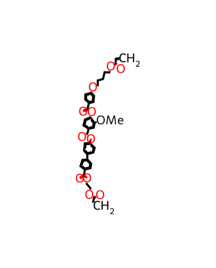 C=CC(=O)OCCCCCOc1ccc(C(=O)Oc2ccc(C(=O)Oc3ccc(-c4ccc(C(=O)OCCOC(=O)C=C)cc4)cc3)cc2OC)cc1